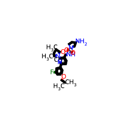 CC(C)COc1cc(F)cc(-c2ccc(C(=O)NS(=O)(=O)N3CC[C@H](N)C3)c(N3C[C@@H](C)CC3(C)C)n2)c1